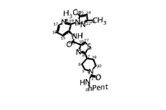 CCCCCNC(=O)N1CCC(c2nc(C(=O)Nc3cccnc3-n3nc(C)cc3C)cs2)CC1